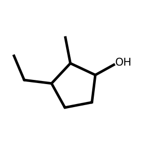 CCC1CCC(O)C1C